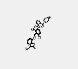 Cc1nc2c(OCc3c(Cl)ccc(S(=O)(=O)N4CCC[C@H]4C(=O)N4CCNCC4)c3Cl)cccn2c1Br